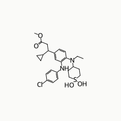 CCN(c1ccc(C(CC(=O)OC)C2CC2)cc1Nc1ccc(Cl)cc1)C1CCS(O)(O)CC1